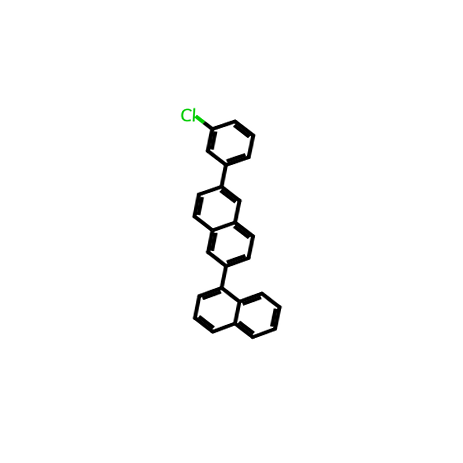 Clc1cccc(-c2ccc3cc(-c4cccc5ccccc45)ccc3c2)c1